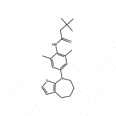 Cc1cc(N2CCCCc3ccsc32)cc(C)c1NC(=O)CC(C)(C)C